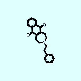 O=C1C2=C(CCN(CCc3ccccc3)CC2)C(=O)c2ccccc21